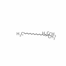 CCCCCCCCCCCCCCCCCC(C)(C)C